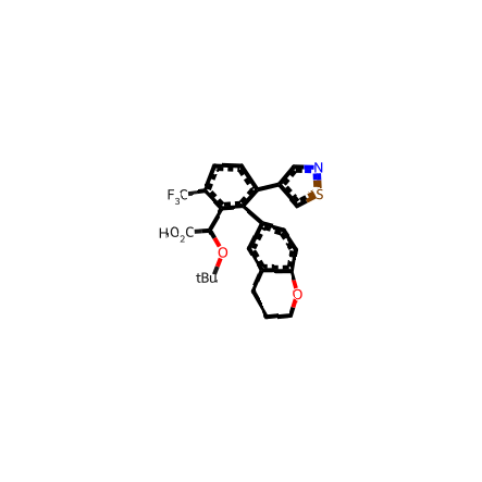 CC(C)(C)OC(C(=O)O)c1c(C(F)(F)F)ccc(-c2cnsc2)c1-c1ccc2c(c1)CCCO2